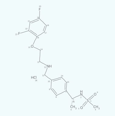 C[C@@H](NS(C)(=O)=O)c1ccc(CNCCOc2ccc(F)cc2F)cc1.Cl